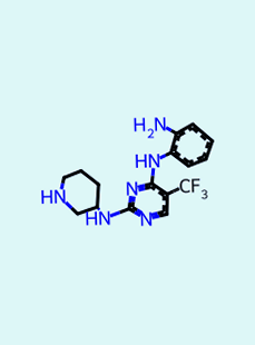 Nc1ccccc1Nc1nc(N[C@H]2CCCNC2)ncc1C(F)(F)F